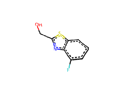 OCc1nc2c(F)cccc2s1